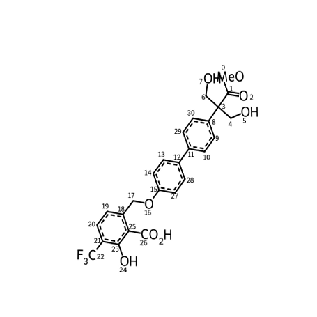 COC(=O)C(CO)(CO)c1ccc(-c2ccc(OCc3ccc(C(F)(F)F)c(O)c3C(=O)O)cc2)cc1